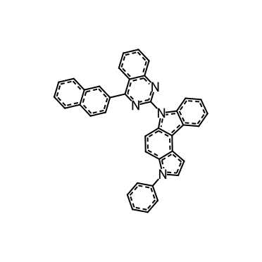 c1ccc(-n2ccc3c4c5ccccc5n(-c5nc(-c6ccc7ccccc7c6)c6ccccc6n5)c4ccc32)cc1